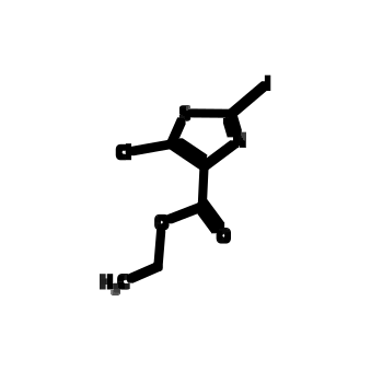 CCOC(=O)c1nc(I)sc1Cl